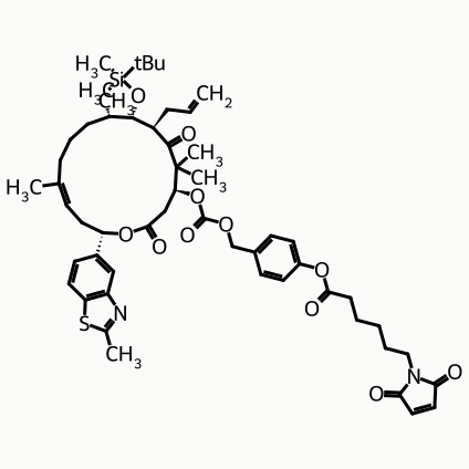 C=CC[C@H]1C(=O)C(C)(C)[C@@H](OC(=O)OCc2ccc(OC(=O)CCCCCN3C(=O)C=CC3=O)cc2)CC(=O)O[C@H](c2ccc3sc(C)nc3c2)C/C=C(/C)CCC[C@H](C)[C@@H]1O[Si](C)(C)C(C)(C)C